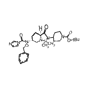 CC(C)(C)OC(=O)N1CCC(N2C(=O)[C@@H]3CC[C@@H](N(OCc4ccccc4)C(=O)n4ccnc4)CN3[Si]2(C)C)CC1